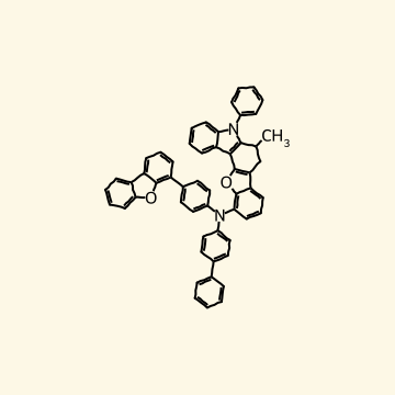 CC1Cc2c(oc3c(N(c4ccc(-c5ccccc5)cc4)c4ccc(-c5cccc6c5oc5ccccc56)cc4)cccc23)-c2c1n(-c1ccccc1)c1ccccc21